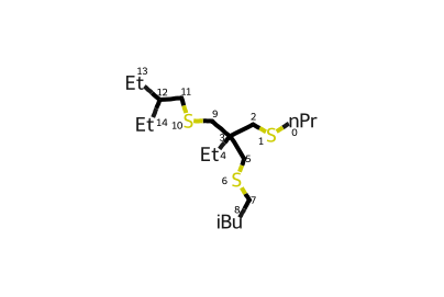 CCCSCC(CC)(CSCC(C)CC)CSCC(CC)CC